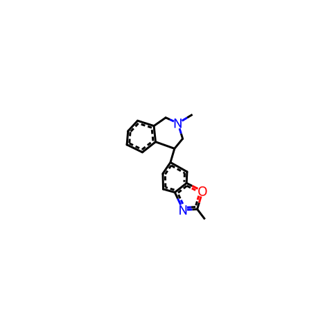 Cc1nc2ccc(C3CN(C)Cc4ccccc43)cc2o1